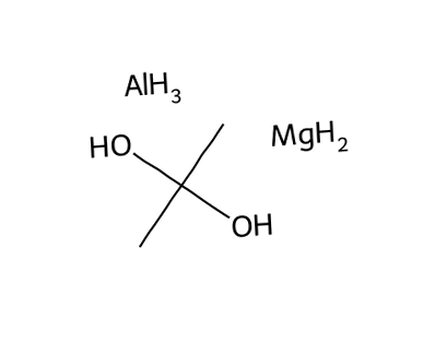 CC(C)(O)O.[AlH3].[MgH2]